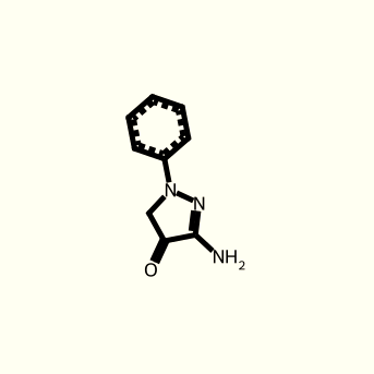 NC1=NN(c2ccccc2)CC1=O